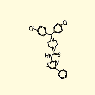 S=C(Nc1nc(-c2ccccc2)cs1)N1CCN(C(c2ccc(Cl)cc2)c2ccc(Cl)cc2)CC1